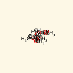 CCCOc1c(OC)c(-c2ccc(OS(C)(=O)=O)cc2)cc(OC)c1-c1ccc(OCC=C(C)C)c(OS(C)(=O)=O)c1